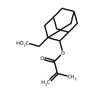 C=C(C)C(=O)OC1C2CC3CC(C2)CC1(CC(=O)O)C3